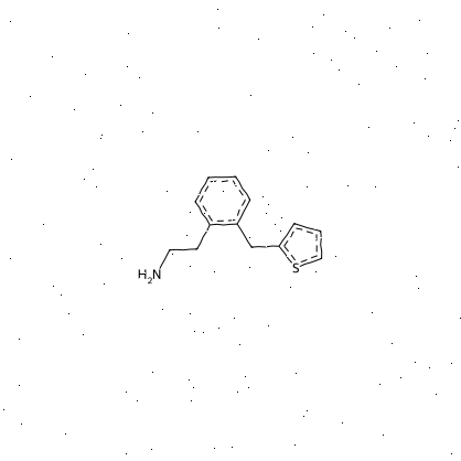 NCCc1ccccc1Cc1cccs1